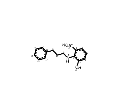 O=C(O)c1cccc(O)c1NCCCc1ccccc1